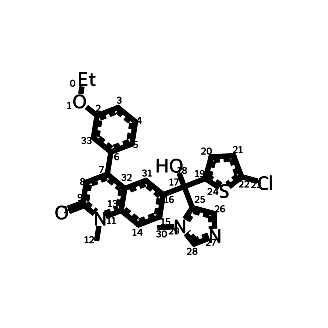 CCOc1cccc(-c2cc(=O)n(C)c3ccc(C(O)(c4ccc(Cl)s4)c4cncn4C)cc23)c1